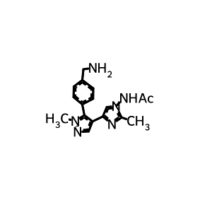 CC(=O)Nn1cc(-c2cnn(C)c2-c2ccc(CN)cc2)nc1C